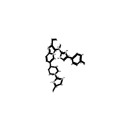 CCc1nc2ccc(C3CCN(C4=NCC(C)O4)CC3)cn2c1N(C)c1nc(-c2ccc(C)cc2)cs1